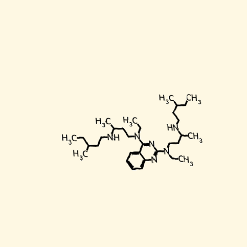 CCC(C)CCNC(C)CCN(CC)c1nc(N(CC)CCC(C)NCCC(C)CC)c2ccccc2n1